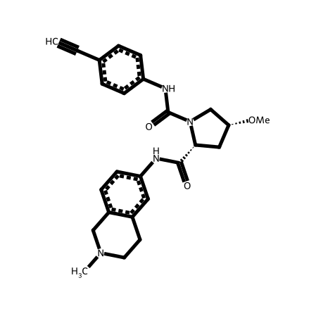 C#Cc1ccc(NC(=O)N2C[C@H](OC)C[C@@H]2C(=O)Nc2ccc3c(c2)CCN(C)C3)cc1